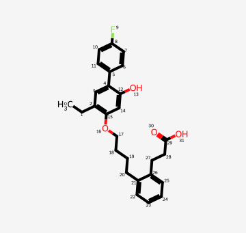 CCc1cc(-c2ccc(F)cc2)c(O)cc1OCCCCc1ccccc1CCC(=O)O